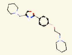 c1cc(-c2nc(CN3CCCCC3)co2)ccc1OCCN1CCCCC1